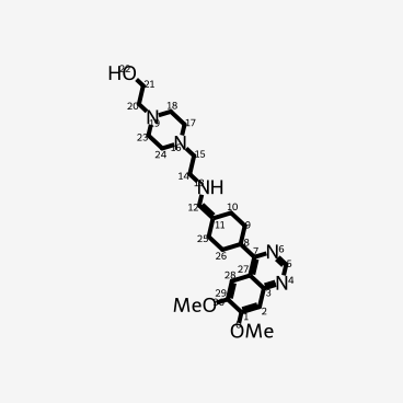 COc1cc2ncnc(C3CCC(=CNCCN4CCN(CCO)CC4)CC3)c2cc1OC